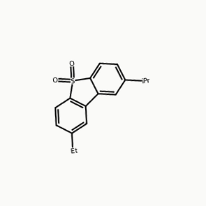 CCc1ccc2c(c1)-c1cc(C(C)C)ccc1S2(=O)=O